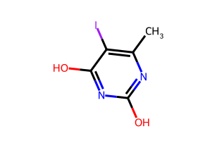 Cc1nc(O)nc(O)c1I